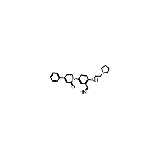 N=Cc1cc(-n2ccc(-c3ccccc3)cc2=O)ccc1NCCN1CCCC1